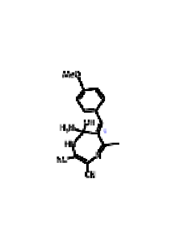 COc1ccc(/C=C2/C(C)=NC(C#N)=C(C#N)NC2(N)O)cc1